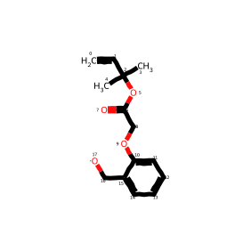 C=CC(C)(C)OC(=O)COc1ccccc1C[O]